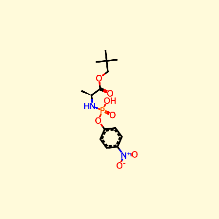 C[C@H](NP(=O)(O)Oc1ccc([N+](=O)[O-])cc1)C(=O)OCC(C)(C)C